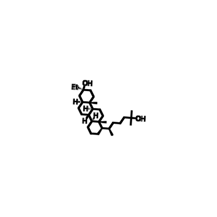 CC[C@]1(O)CC[C@@]2(C)[C@@H](CC[C@@H]3[C@@H]2CC[C@]2(C)[C@@H]([C@H](C)CCCC(C)(C)O)CCC[C@@H]32)C1